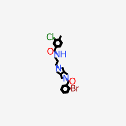 Cc1ccc(C(=O)NCCCN2CC3CN(C(=O)c4ccccc4Br)CC3C2)cc1Cl